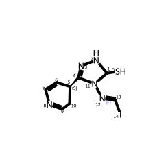 SC1NN=C([C@@H]2C=CN=CC2)N1/N=C/I